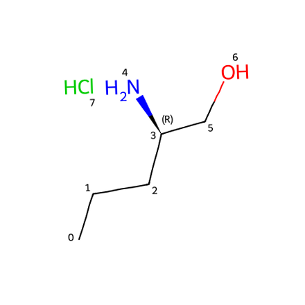 CCC[C@@H](N)CO.Cl